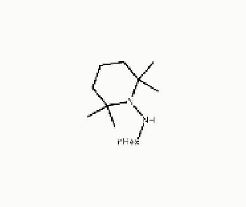 CCCCCCNN1C(C)(C)CCCC1(C)C